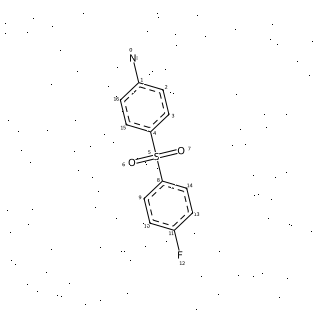 [N]c1ccc(S(=O)(=O)c2ccc(F)cc2)cc1